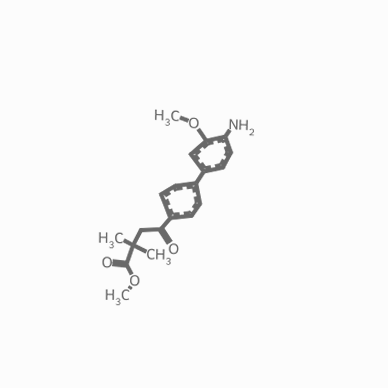 COC(=O)C(C)(C)CC(=O)c1ccc(-c2ccc(N)c(OC)c2)cc1